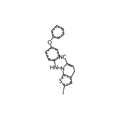 N#CC1=CCc2cc(I)sc2N1Nc1ccc(Oc2ccccc2)cc1